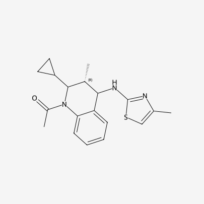 CC(=O)N1c2ccccc2C(Nc2nc(C)cs2)[C@@H](C)C1C1CC1